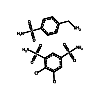 NCc1ccc(S(N)(=O)=O)cc1.NS(=O)(=O)c1cc(Cl)c(Cl)c(S(N)(=O)=O)c1